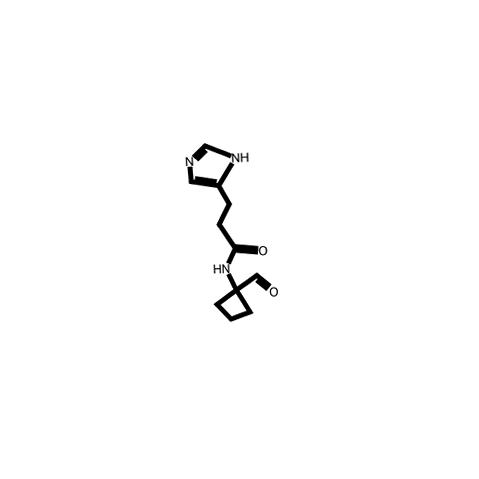 O=CC1(NC(=O)CCc2cnc[nH]2)CCC1